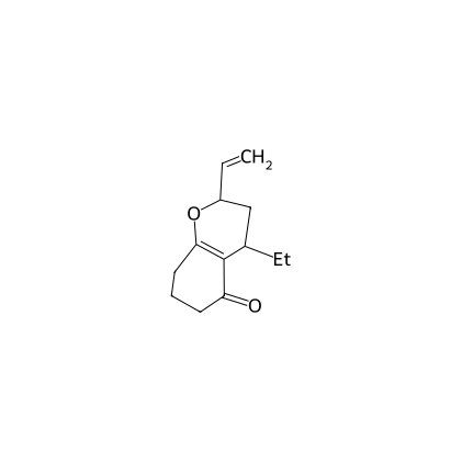 C=CC1CC(CC)C2=C(CCCC2=O)O1